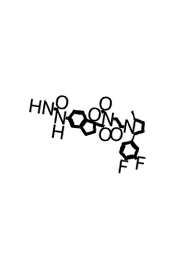 CNC(=O)Nc1ccc2c(c1)CCC21OC(=O)N(CC(=O)N2[C@@H](C)CC[C@H]2c2ccc(F)c(F)c2)C1=O